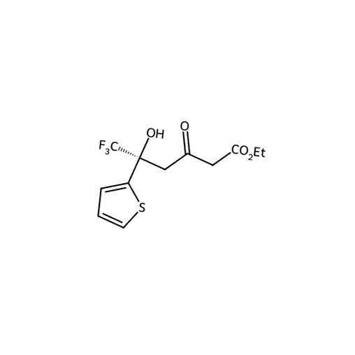 CCOC(=O)CC(=O)C[C@](O)(c1cccs1)C(F)(F)F